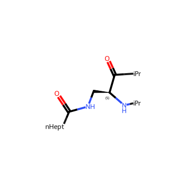 CCCCCCCC(=O)NC[C@H](NC(C)C)C(=O)C(C)C